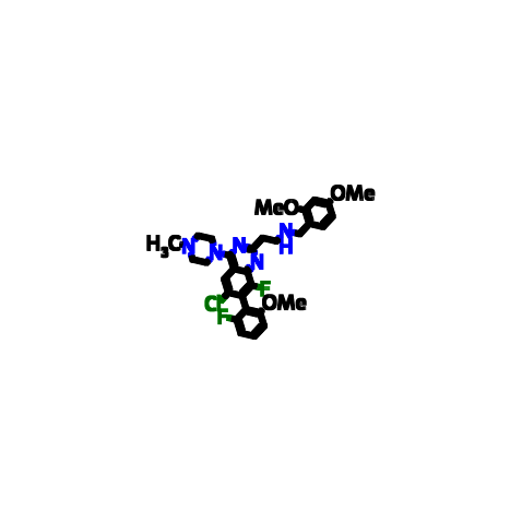 COc1ccc(CNCCc2nc(N3CCN(C)CC3)c3cc(Cl)c(-c4c(F)cccc4OC)c(F)c3n2)c(OC)c1